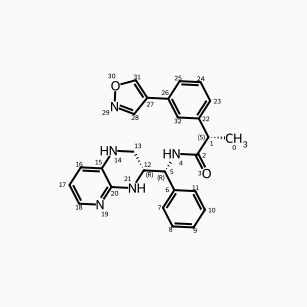 C[C@H](C(=O)N[C@H](c1ccccc1)[C@H]1CNc2cccnc2N1)c1cccc(-c2cnoc2)c1